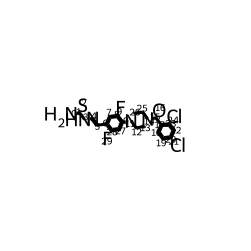 NC(=S)NN=Cc1cc(F)c(N2CCN(C(=O)c3ccc(Cl)cc3Cl)CC2)cc1F